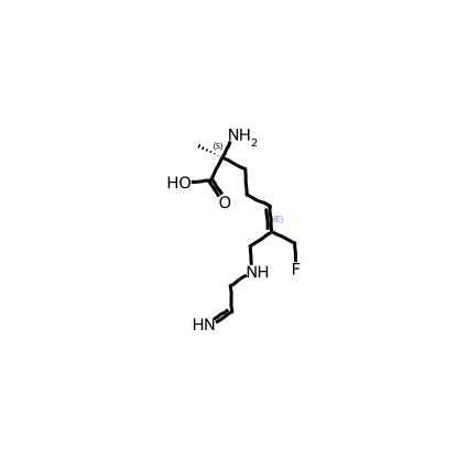 C[C@](N)(CC/C=C(/CF)CNCC=N)C(=O)O